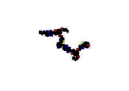 COc1cc(OCc2csc(-c3ccncc3Cc3ccc4nc(-c5cc6c(OCc7csc(C8(F)CCOCC8)n7)cc(OC)cc6o5)cn4n3)n2)c2cc(-c3cn4nc(C)ccc4n3)oc2c1